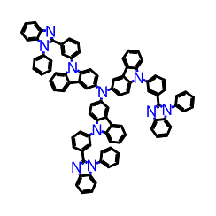 c1ccc(-n2c(-c3cccc(-n4c5ccccc5c5cc(N(c6ccc7c(c6)c6ccccc6n7-c6cccc(-c7nc8ccccc8n7-c7ccccc7)c6)c6ccc7c(c6)c6ccccc6n7-c6cccc(-c7nc8ccccc8n7-c7ccccc7)c6)ccc54)c3)nc3ccccc32)cc1